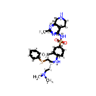 CN(C)CC[C@H](CSc1ccccc1)Nc1ccc(S(=O)(=O)Nc2nc(C(F)(F)F)nc3c2CCNC3)cc1[N+](=O)[O-]